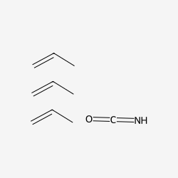 C=CC.C=CC.C=CC.N=C=O